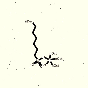 CCCCCCCCCCCCCCCCS(=O)(=O)OP(CCCCCCCC)(CCCCCCCC)(CCCCCCCC)CCCCCCCC